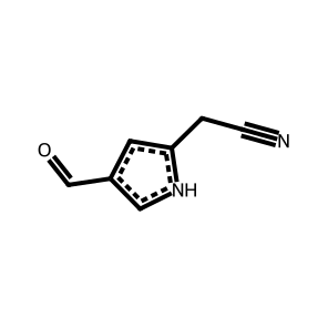 N#CCc1cc(C=O)c[nH]1